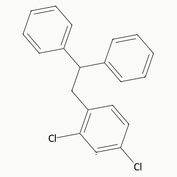 Clc1[c]c(Cl)c(CC(c2ccccc2)c2ccccc2)cc1